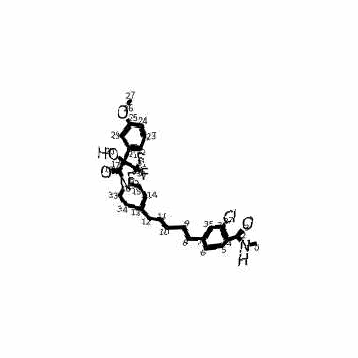 CNC(=O)c1ccc(CCCCCC2CCN(C(=O)C(O)(c3cccc(OC)c3)C(F)(F)F)CC2)cc1Cl